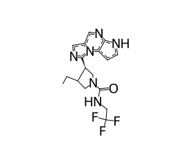 CCC1CN(C(=O)NCC(F)(F)F)C[C@@H]1c1ncc2cnc3[nH]ccc3n12